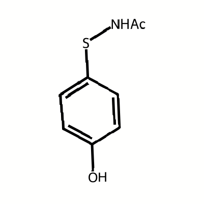 CC(=O)NSc1ccc(O)cc1